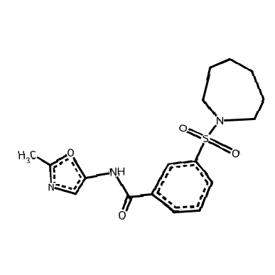 Cc1ncc(NC(=O)c2cccc(S(=O)(=O)N3CCCCCC3)c2)o1